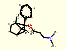 CCN(CC)CCCOC1(c2ccccc2)CC2CCC1(C)C2(C)C